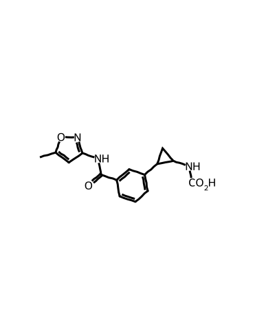 Cc1cc(NC(=O)c2cccc(C3CC3NC(=O)O)c2)no1